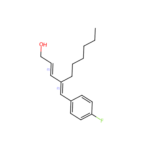 CCCCCCC(/C=C/CO)=C\c1ccc(F)cc1